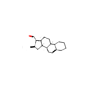 C=C1C[C@H]2[C@@H]3CC=C4CCCC[C@]4(C)[C@H]3CC[C@]2(C)C1C=O